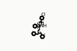 C[C@@H]1CC=CC=C1CN(CCn1c(=N)n(CC(=O)c2ccc(Cl)cc2)c2ccccc21)Cc1ccccc1